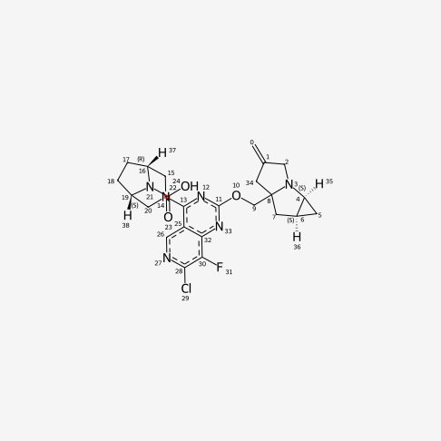 C=C1CN2[C@H]3C[C@H]3CC2(COc2nc(N3C[C@H]4CC[C@@H](C3)N4C(=O)O)c3cnc(Cl)c(F)c3n2)C1